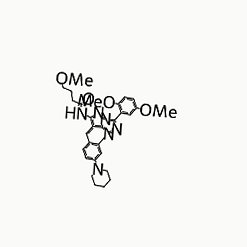 COCCCC(=O)Nc1nn2c(-c3cc(OC)ccc3OC)nnc2/c1=C\c1ccc(N2CCCCC2)cc1C